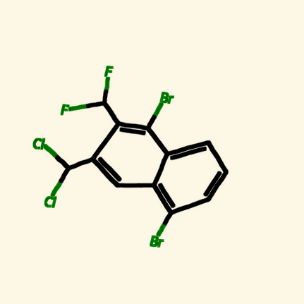 FC(F)c1c(C(Cl)Cl)cc2c(Br)cccc2c1Br